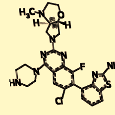 CN1CCO[C@@H]2CN(c3nc(N4CCNCC4)c4cc(Cl)c(-c5cccc6sc(N)nc56)c(F)c4n3)C[C@H]21